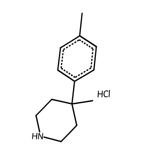 Cc1ccc(C2(C)CCNCC2)cc1.Cl